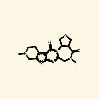 CN1CCc2c(sc3nc4n(c(=O)c23)C2COCC2C(=O)N(C)C4)C1